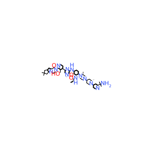 C=CC(=O)Nc1cc(Nc2nc(-c3ccnc(N4CCn5c(cc6c5CC(C)(C)C6)C4=O)c3CO)cn(C)c2=O)ccc1N1CCN(C2CCN(c3ccnc(C(C)(C)N)c3)[C@@H](C)C2)C[C@@H]1C